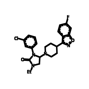 CCN1CC(N2CCC(c3noc4cc(F)ccc34)CC2)N(c2cccc(Cl)c2)C1=O